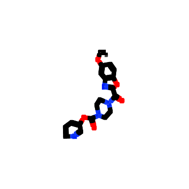 COc1ccc2oc(C(=O)N3CCN(C(=O)Oc4cccnc4)CC3)nc2c1